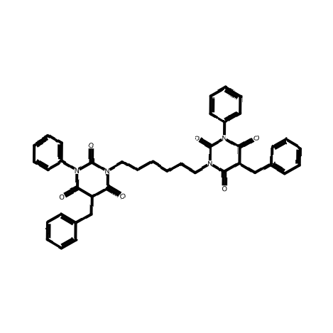 O=C1C(Cc2ccccc2)C(=O)N(c2ccccc2)C(=O)N1CCCCCCN1C(=O)C(Cc2ccccc2)C(=O)N(c2ccccc2)C1=O